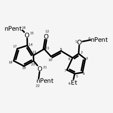 CCCCCOc1ccc(CC)cc1C=CC(=O)c1c(OCCCCC)cccc1OCCCCC